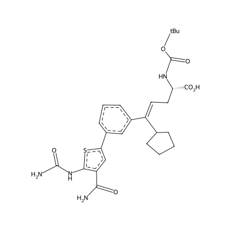 CC(C)(C)OC(=O)N[C@@H](CC=C(c1cccc(-c2cc(C(N)=O)c(NC(N)=O)s2)c1)C1CCCC1)C(=O)O